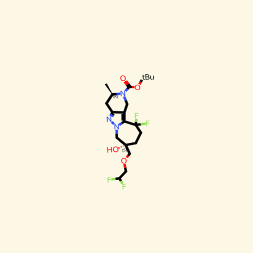 C[C@@H]1Cc2nn3c(c2CN1C(=O)OC(C)(C)C)C(F)(F)CC[C@@](O)(COCC(F)F)C3